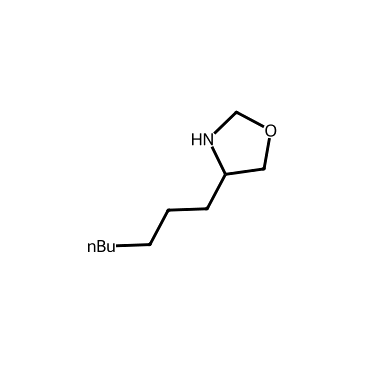 CCCCCCCC1COCN1